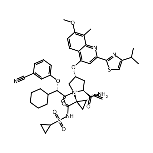 C=C[C@@H]1C[C@@]1(C(=O)NS(=O)(=O)C1CC1)[N+]1(C(=O)[C@@H](Oc2cccc(C#N)c2)C2CCCCC2)C[C@H](Oc2cc(-c3nc(C(C)C)cs3)nc3c(C)c(OC)ccc23)C[C@H]1C(N)=O